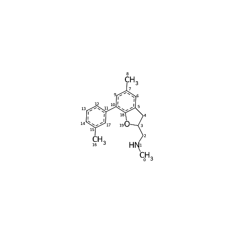 CNCC1Cc2cc(C)cc(-c3cccc(C)c3)c2O1